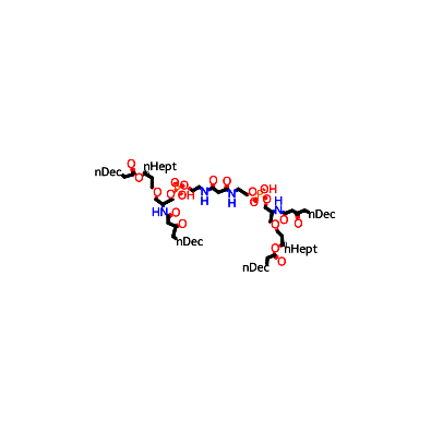 CCCCCCCCCCCC(=O)CC(=O)NC(COCC[C@@H](CCCCCCC)OC(=O)CCCCCCCCCCC)COP(=O)(O)OCCNC(=O)CC(=O)NCCOP(=O)(O)OCC(COCC[C@@H](CCCCCCC)OC(=O)CCCCCCCCCCC)NC(=O)CC(=O)CCCCCCCCCCC